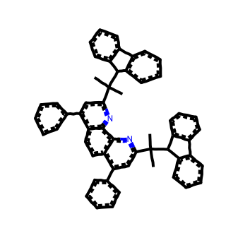 CC(C)(c1cc(-c2ccccc2)c2ccc3c(-c4ccccc4)cc(C(C)(C)C4c5ccccc5-c5ccccc54)nc3c2n1)C1c2ccccc2-c2ccccc21